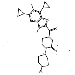 Cc1c(C2CC2)cc2c(nc(C(=O)N3CCN([C@H]4CC[C@H](O)CC4)C(=O)C3)n2C)c1C1CC1